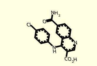 NC(=O)c1ccc2ncc(C(=O)O)c(Nc3ccc(Cl)cc3)c2c1